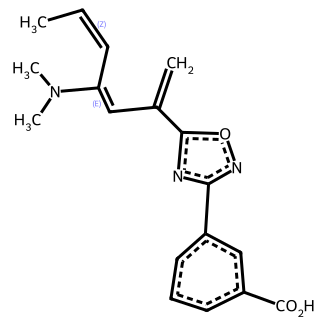 C=C(/C=C(\C=C/C)N(C)C)c1nc(-c2cccc(C(=O)O)c2)no1